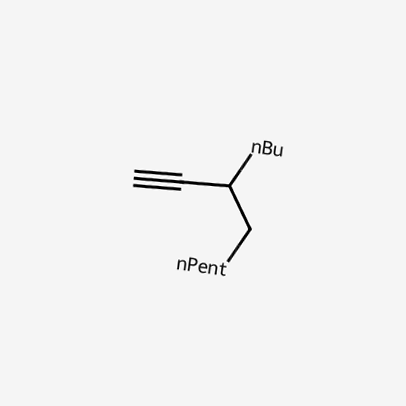 C#CC(CCCC)CCCCCC